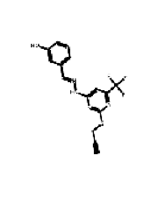 C#CCSc1nc(NN=Cc2cccc(O)c2)cc(C(F)(F)F)n1